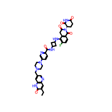 CCc1cc2ncc(CN3CCN(c4ccc(C(=O)NC5CC(Nc6c(F)ccc7c6CC(=O)N([C@H]6CCC(=O)NC6=O)C7=O)C5)nc4)CC3)cc2[nH]c1=O